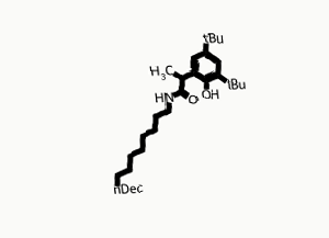 CCCCCCCCCCCCCCCCCCNC(=O)C(C)c1cc(C(C)(C)C)cc(C(C)(C)C)c1O